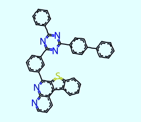 c1ccc(-c2ccc(-c3nc(-c4ccccc4)nc(-c4cccc(-c5nc6ncccc6c6c5sc5ccccc56)c4)n3)cc2)cc1